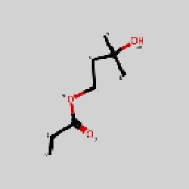 CCC(=O)OCCC(C)(C)O